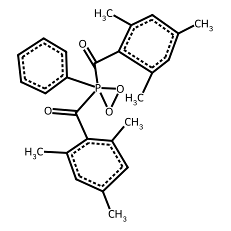 Cc1cc(C)c(C(=O)P2(C(=O)c3c(C)cc(C)cc3C)(c3ccccc3)OO2)c(C)c1